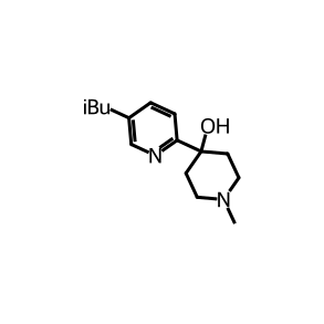 CCC(C)c1ccc(C2(O)CCN(C)CC2)nc1